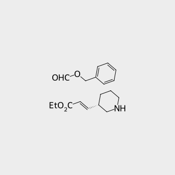 CCOC(=O)/C=C/[C@@H]1CCCNC1.O=COCc1ccccc1